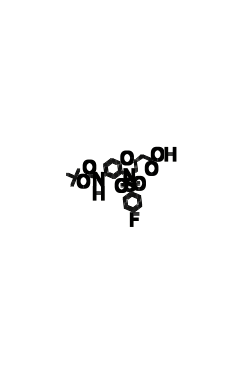 CC(C)(C)OC(=O)Nc1ccc2c(c1)N(S(=O)(=O)c1ccc(F)cc1)C[C@H](CC(=O)O)O2